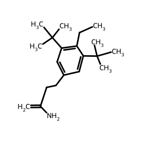 C=C(N)CCc1cc(C(C)(C)C)c(CC)c(C(C)(C)C)c1